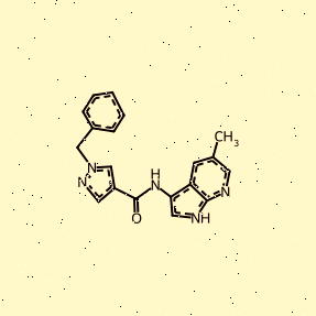 Cc1cnc2[nH]cc(NC(=O)c3cnn(Cc4ccccc4)c3)c2c1